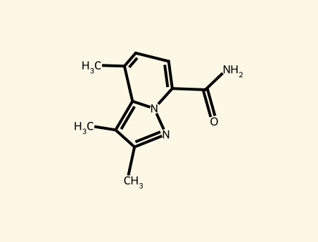 Cc1nn2c(C(N)=O)ccc(C)c2c1C